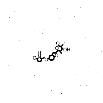 Cc1c(-c2cc3cc(OCC4CCC(=O)N4)ccc3o2)oc(=O)c(C)c1O